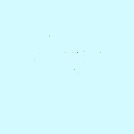 c1ccc2cc3c(cc2c1)c1c2ccccc2ccc1n3-c1nc2ccccc2nc1-c1ccc2c3ccccc3c3ccccc3c2c1